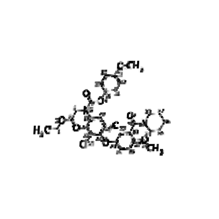 CCOC(=O)CN(C(=O)Oc1ccc(OC)cc1)c1cc(Cl)c(Oc2ccc(OC)c(C(=O)N3CCCCC3)c2)c(Cl)c1